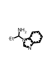 C[CH]C(N)n1cnc2ccccc21